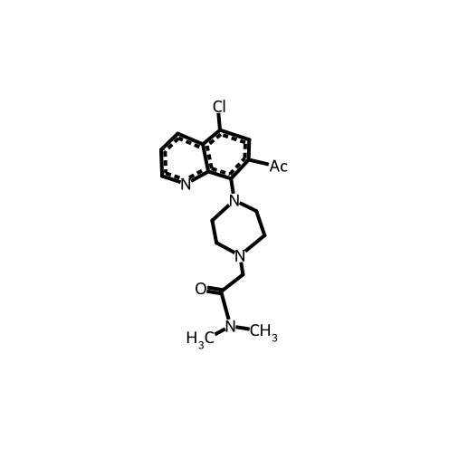 CC(=O)c1cc(Cl)c2cccnc2c1N1CCN(CC(=O)N(C)C)CC1